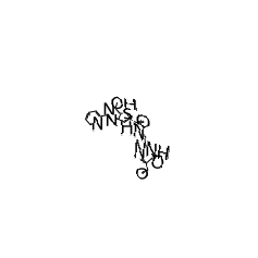 O=Cc1cnc(CNC(=O)c2cc3nc(-c4ccccn4)nc(O)c3s2)[nH]c1=O